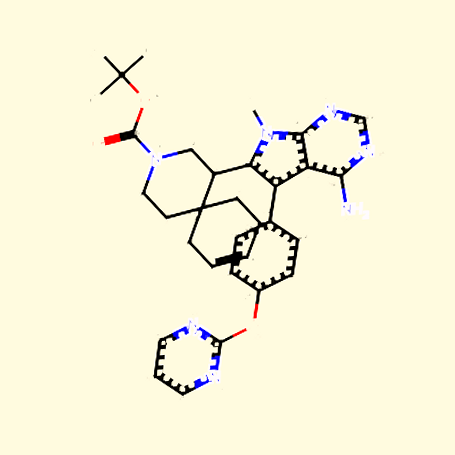 Cn1c(C2CN(C(=O)OC(C)(C)C)CCC23CC=CCC3)c(-c2ccc(Oc3ncccn3)cc2)c2c(N)ncnc21